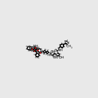 Cc1ncsc1-c1ccc(CNC(=O)[C@@H]2C[C@@H](O)CN2C(=O)[C@@H](NC(=O)[C@H]2CC3(C2)C[C@H](N2CCC(c4cnc(N5C6CCC5CN(c5cc(-c7ccccc7O)nnc5N)C6)nc4)CC2)C3)C(C)(C)C)cc1